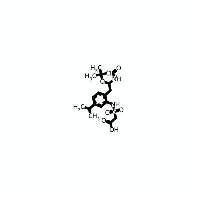 CC(C)c1ccc(CC(NC=O)OC(C)(C)C)c(NS(=O)(=O)CC(=O)O)c1